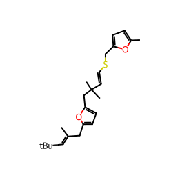 C/C(=C\C(C)(C)C)Cc1ccc(CC(C)(C)/C=C/SCc2ccc(C)o2)o1